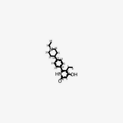 CCc1c(O)cc(=O)[nH]c1-c1ccc(C2CCN(CC)CC2)cc1